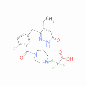 CCc1cc(=O)[nH]nc1Cc1ccc(F)c(C(=O)N2CCCNCC2)c1.O=C(O)C(F)(F)F